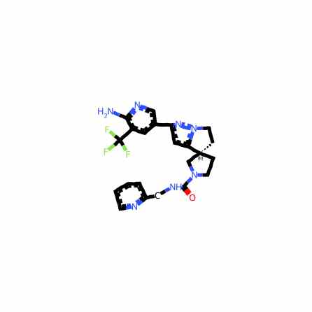 Nc1ncc(-c2cc3n(n2)CC[C@@]32CCN(C(=O)NCc3ccccn3)C2)cc1C(F)(F)F